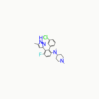 Cc1cc(-c2c(F)ccc(N(C)C3CCN(C)CC3)c2-c2cccc(Cl)c2)n[nH]1